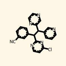 N#Cc1cccc(C(c2nccc(Cl)n2)C(c2cccnc2)c2cnccn2)c1